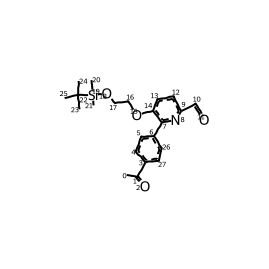 CC(=O)c1ccc(-c2nc(C=O)ccc2OCCO[Si](C)(C)C(C)(C)C)cc1